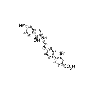 CC(C)c1cc(C(=O)O)ccc1-c1ccc(OCCN[C@H](C)[C@@H](O)c2ccc(O)cc2)cc1